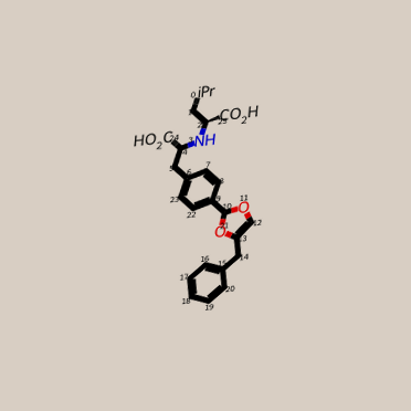 CC(C)C[C@H](NC(Cc1ccc(C2OC=C(Cc3ccccc3)O2)cc1)C(=O)O)C(=O)O